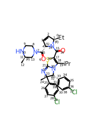 CC[C@@H]1C=C[C@@H](C(=O)N2CCN[C@H](C)C2)N1C(=O)C1=C(C(C)C)N2C(=N[C@@](C)(c3ccc(Cl)cc3)[C@H]2c2ccc(Cl)cc2)S1